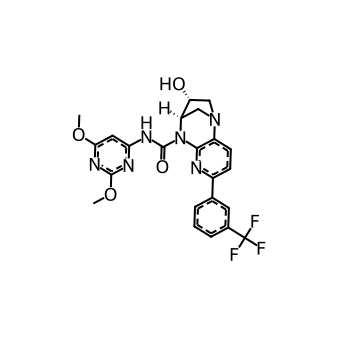 COc1cc(NC(=O)N2c3nc(-c4cccc(C(F)(F)F)c4)ccc3N3C[C@@H](O)[C@H]2C3)nc(OC)n1